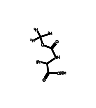 [2H]C([2H])([2H])OC(=O)NC(C(=O)OC)C(C)C